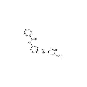 O=C(Nc1cccc(CN[C@@H]2CN[C@H](C(=O)O)C2)c1)c1ccccc1